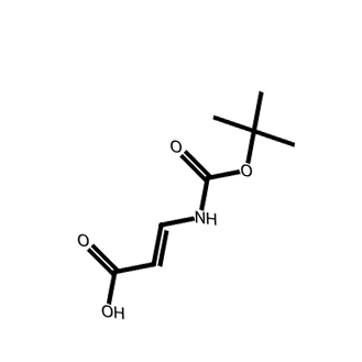 CC(C)(C)OC(=O)NC=CC(=O)O